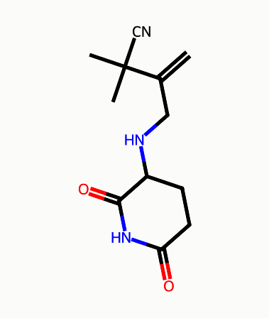 C=C(CNC1CCC(=O)NC1=O)C(C)(C)C#N